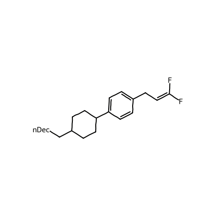 CCCCCCCCCCCC1CCC(c2ccc(CC=C(F)F)cc2)CC1